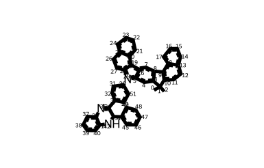 CC1(C)c2cc3c(cc2-c2c1ccc1ccccc21)c1c2ccccc2ccc1n3-c1ccc(C2=Nc3ccccc3NC2c2ccccc2)cc1